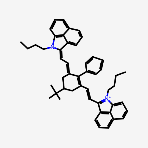 CCCCn1/c(=C/C=C2\CC(C(C)(C)C)CC(/C=C/C3=[N+](CCCC)c4cccc5cccc3c45)=C2c2ccccc2)c2cccc3cccc1c32